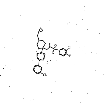 N#Cc1cccc(-c2ccc(C3(CNS(=O)(=O)c4ccc(F)c(Cl)c4)CCN(CC4CC4)CC3)cc2)c1